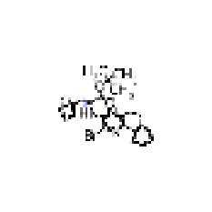 CC(C)(C)OC(=O)/C(=C/c1ccco1)Nc1nc2c(nc1Br)-c1ccccc1CC2